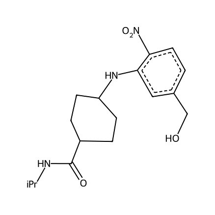 CC(C)NC(=O)C1CCC(Nc2cc(CO)ccc2[N+](=O)[O-])CC1